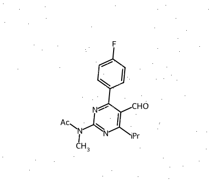 CC(=O)N(C)c1nc(-c2ccc(F)cc2)c(C=O)c(C(C)C)n1